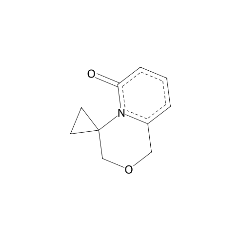 O=c1cccc2n1C1(CC1)COC2